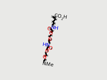 CNCCOCCOCC(=O)NCCOCCOCC(=O)NCCCC[C@H](C)C(=O)O